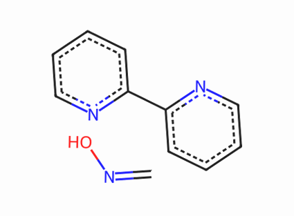 C=NO.c1ccc(-c2ccccn2)nc1